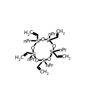 C=C[Si]1(CCC)O[Si](C=C)(CCC)O[Si](C=C)(CCC)O[Si](C=C)(CCC)O[Si](C=C)(CCC)O1